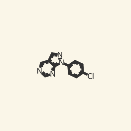 Clc1ccc(-n2ncc3cncnc32)cc1